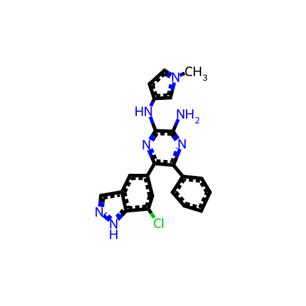 Cn1ccc(Nc2nc(-c3cc(Cl)c4[nH]ncc4c3)c(-c3ccccc3)nc2N)c1